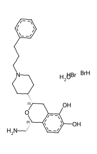 Br.Br.NC[C@@H]1O[C@H](C2CCN(CCCc3ccccc3)CC2)Cc2c1ccc(O)c2O.O